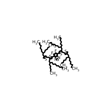 CCCCCCCCC(CCCCCC)Cc1cc(-c2c(F)c(F)c(-c3cc(CC(CCCCCC)CCCCCCCC)c(-c4cc(CC(CCCCCC)CCCCCCC)cs4)s3)c3nsnc23)sc1-c1cc(CC(CCCCCC)CCCCCCC)cs1